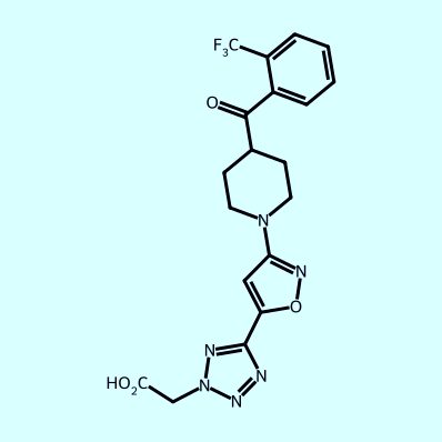 O=C(O)Cn1nnc(-c2cc(N3CCC(C(=O)c4ccccc4C(F)(F)F)CC3)no2)n1